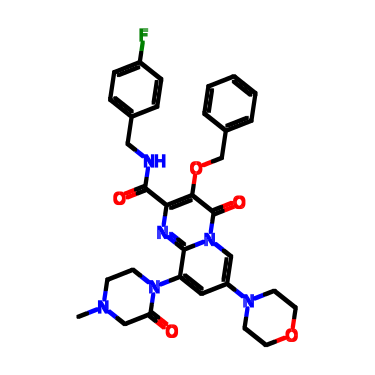 CN1CCN(c2cc(N3CCOCC3)cn3c(=O)c(OCc4ccccc4)c(C(=O)NCc4ccc(F)cc4)nc23)C(=O)C1